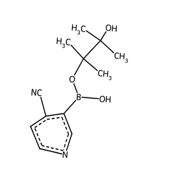 CC(C)(O)C(C)(C)OB(O)c1cnccc1C#N